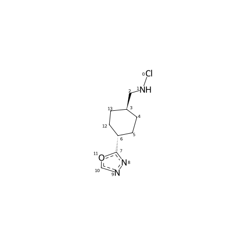 ClNC[C@H]1CC[C@H](c2nnco2)CC1